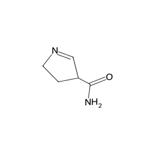 NC(=O)C1C=NCC1